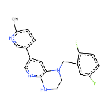 N#Cc1ccc(-c2cnc3c(c2)N(Cc2cc(F)ccc2F)CCN3)cn1